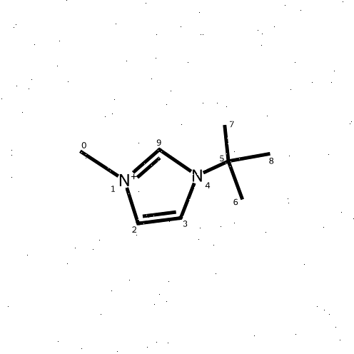 C[n+]1ccn(C(C)(C)C)c1